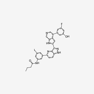 CCCC(=O)Nc1cc(I)cc(-c2ccc3[nH]nc(-c4cc5c(-c6cc(O)cc(F)c6)cncc5[nH]4)c3n2)c1